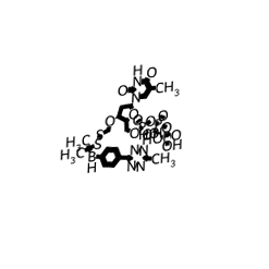 Cc1nnc(-c2ccc(BC(C)(C)SSCO[C@@H]3C[C@H](n4cc(C)c(=O)[nH]c4=O)OC3COP(=O)(O)OP(=O)(O)OP(=O)(O)O)cc2)nn1